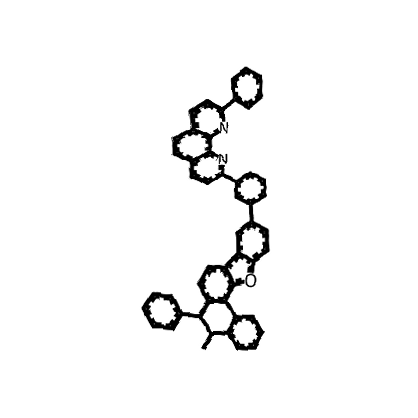 CC1c2ccccc2-c2c(ccc3c2oc2ccc(-c4cccc(-c5ccc6ccc7ccc(-c8ccccc8)nc7c6n5)c4)cc23)C1c1ccccc1